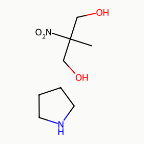 C1CCNC1.CC(CO)(CO)[N+](=O)[O-]